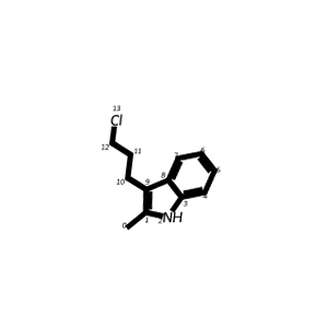 Cc1[nH]c2ccccc2c1CCCCl